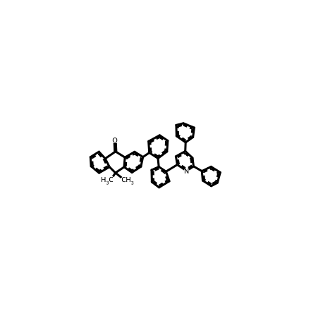 CC1(C)c2ccccc2C(=O)c2cc(-c3ccccc3-c3ccccc3-c3cc(-c4ccccc4)cc(-c4ccccc4)n3)ccc21